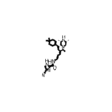 CC(C(/C=C/C1=CCC(C)(C)CC1)=C/C=C/NC(=O)c1nc(C#N)c[nH]1)N1C[C@@H](C)N[C@@H](C)C1